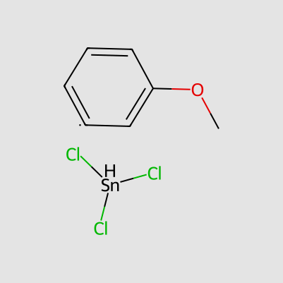 COc1c[c]ccc1.[Cl][SnH]([Cl])[Cl]